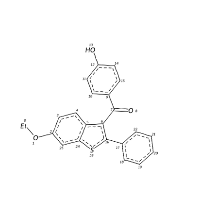 CCOc1ccc2c(C(=O)c3ccc(O)cc3)c(-c3ccccc3)sc2c1